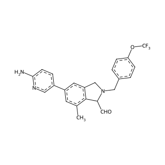 Cc1cc(-c2ccc(N)nc2)cc2c1C(C=O)N(Cc1ccc(OC(F)(F)F)cc1)C2